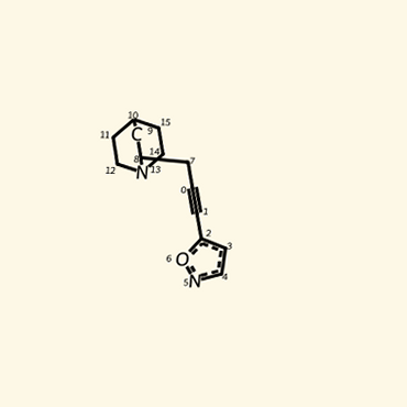 C(#Cc1ccno1)CC1CC2CCN1CC2